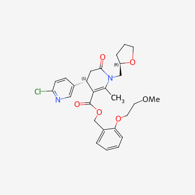 COCCOc1ccccc1COC(=O)C1=C(C)N(C[C@H]2CCCO2)C(=O)C[C@H]1c1ccc(Cl)nc1